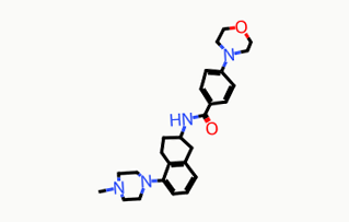 CN1CCN(c2cccc3c2CCC(NC(=O)c2ccc(N4CCOCC4)cc2)C3)CC1